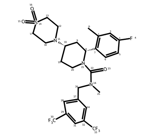 Cc1cc(F)ccc1[C@H]1C[C@@H](N2CCS(=O)(=O)CC2)CCN1C(=O)N(C)Cc1cc(C(F)(F)F)cc(C(F)(F)F)c1